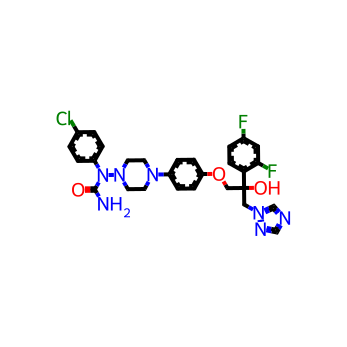 NC(=O)N(c1ccc(Cl)cc1)N1CCN(c2ccc(OCC(O)(Cn3cncn3)c3ccc(F)cc3F)cc2)CC1